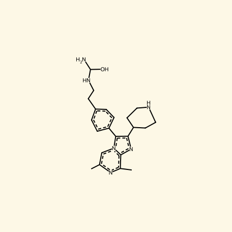 Cc1cn2c(-c3ccc(CCNC(N)O)cc3)c(C3CCNCC3)nc2c(C)n1